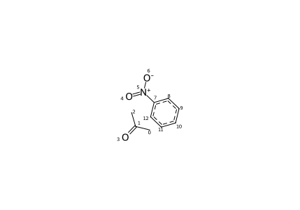 CC(C)=O.O=[N+]([O-])c1ccccc1